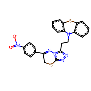 O=[N+]([O-])c1ccc(C2=Nn3c(CCN4c5ccccc5Sc5ccccc54)nnc3SC2)cc1